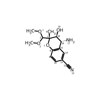 COC(OC)[C@@]1(C)Oc2ccc(C#N)cc2[C@@H](N)[C@@H]1O